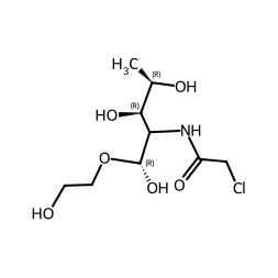 C[C@@H](O)[C@H](O)C(NC(=O)CCl)[C@H](O)OCCO